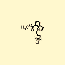 COC(=O)c1cccc2ccn(Cc3cnc(Cl)s3)c12